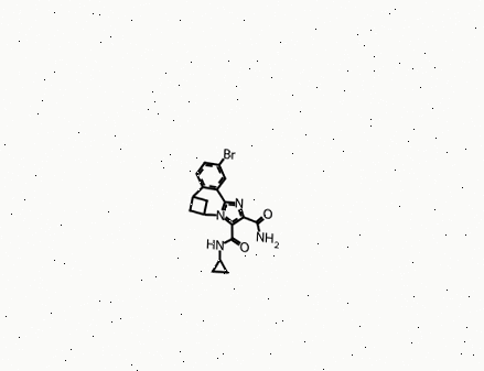 NC(=O)c1nc2n(c1C(=O)NC1CC1)C1CC(C1)c1ccc(Br)cc1-2